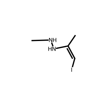 CNN/C(C)=C\I